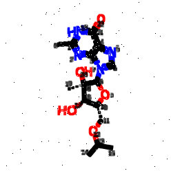 Cc1nc2c(ncn2C2O[C@H](COC(C)C)[C@@H](O)[C@@]2(C)O)c(=O)[nH]1